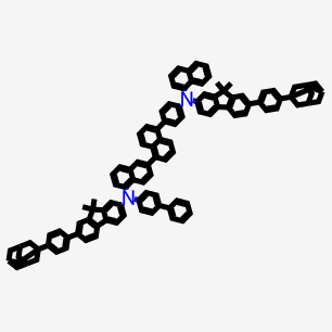 CC1(C)c2cc(-c3ccc(C45CC6CC(CC(C6)C4)C5)cc3)ccc2-c2ccc(N(c3ccc(-c4cccc5c(-c6ccc7c(N(c8ccc(-c9ccccc9)cc8)c8ccc9c(c8)C(C)(C)c8cc(-c%10ccc(C%11%12CC%13CC(CC(C%13)C%11)C%12)cc%10)ccc8-9)cccc7c6)cccc45)cc3)c3cccc4ccccc34)cc21